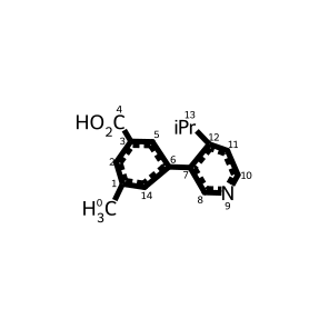 Cc1cc(C(=O)O)cc(-c2cnccc2C(C)C)c1